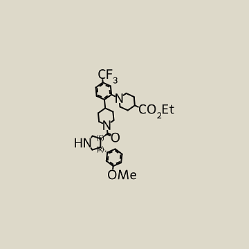 CCOC(=O)C1CCN(c2cc(C(F)(F)F)ccc2C2CCN(C(=O)[C@@H]3CNC[C@H]3c3cccc(OC)c3)CC2)CC1